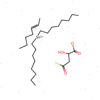 C/C=C/CCCC.CCCCCCC[CH2][Sn+2][CH2]CCCCCCC.O=C([S-])CC(O)C(=O)[O-]